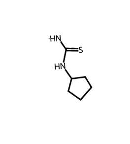 [NH]C(=S)NC1CCCC1